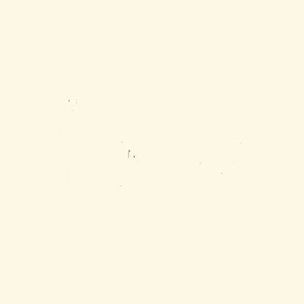 c1ccc(-c2cccc(N(c3ccc(-c4ccc5c(ccc6ccccc65)c4)cc3)c3ccc(-c4cccc5oc6c7ccccc7ccc6c45)cc3)c2)cc1